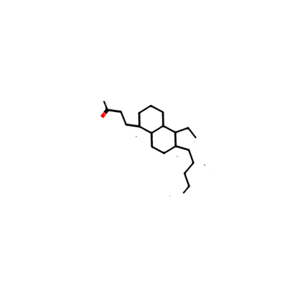 CCC(=O)CC[C@@]1(C)CCCC2C1CC[C@@]1(C)C2CC[C@@H]1[C@H](C)CCC(=O)O